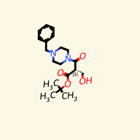 CC(C)(C)OC(=O)[C@@H](CO)C(=O)N1CCN(Cc2ccccc2)CC1